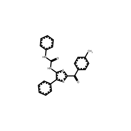 Cc1ccc(C(=O)c2nc(-c3ccccc3)c(NC(=O)Nc3ccccc3)s2)cc1